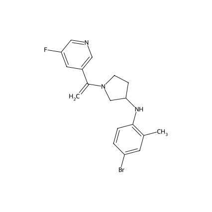 C=C(c1cncc(F)c1)N1CCC(Nc2ccc(Br)cc2C)C1